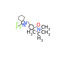 CC(C)N(C(=O)c1cccc(Cn2nc(C(F)(F)F)c3c2CCCC3)c1)C(C)C